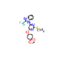 CSc1nc(OC2CCC3(CC2)OCCO3)cc(-n2c(C(F)F)nc3ccccc32)n1